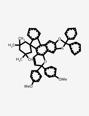 COc1ccc(C2(c3ccc(OC)cc3)C=Cc3c4c(c5cc6c(cc5c3O2)SC(c2ccccc2)(c2ccccc2)O6)-c2ccccc2C42CC(C)(C)CC(C)(C)C2)cc1